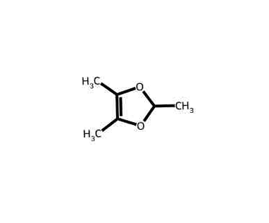 CC1=C(C)OC(C)O1